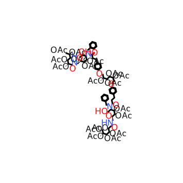 CC(=O)OC[C@@H](OC(C)=O)[C@@H](OC(C)=O)[C@H](OC(C)=O)[C@@H](OC(C)=O)C(=O)NC[C@H]1O[C@H](O)[C@@H](N(Cc2ccccc2)C(=O)CCc2ccc(OC[C@H](OC(C)=O)[C@@H](OC(C)=O)[C@@H](OC(C)=O)[C@@H](COc3ccc(CCC(=O)N(Cc4ccccc4)[C@H]4[C@@H](OC(C)=O)[C@H](OC(C)=O)[C@@H](CNC(=O)[C@H](OC(C)=O)[C@@H](OC(C)=O)[C@H](OC(C)=O)[C@@H](COC(C)=O)OC(C)=O)O[C@@H]4O)cc3)OC(C)=O)cc2)[C@@H](OC(C)=O)[C@@H]1OC(C)=O